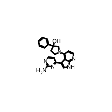 Nc1nccc(-c2c[nH]c3nccc(N4CCC(O)(c5ccccc5)C4)c23)n1